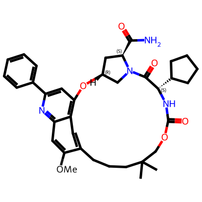 COc1cc2nc(-c3ccccc3)cc3c2cc1CCCC(C)(C)COC(=O)N[C@@H](C1CCCC1)C(=O)N1C[C@@H](C[C@H]1C(N)=O)O3